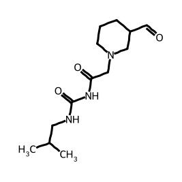 CC(C)CNC(=O)NC(=O)CN1CCCC(C=O)C1